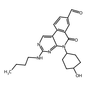 CCCCNc1ncc2c3ccc(C=O)cc3c(=O)n(C3CCC(O)CC3)c2n1